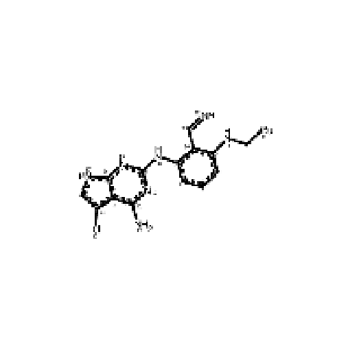 CCC(C)CNc1cccc(Nc2nc(N)c3c(Cl)c[nH]c3n2)c1C=N